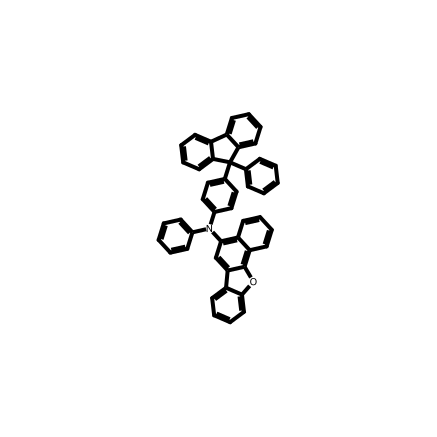 c1ccc(N(c2ccc(C3(c4ccccc4)c4ccccc4-c4ccccc43)cc2)c2cc3c4ccccc4oc3c3ccccc23)cc1